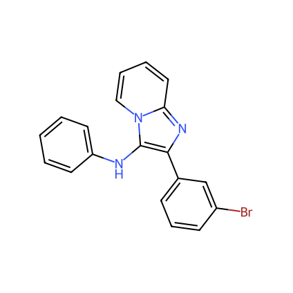 Brc1cccc(-c2nc3ccccn3c2Nc2ccccc2)c1